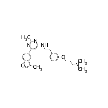 Cc1nc(NCCc2cccc(OCCCN(C)C)c2)cc(-c2ccc3occ(C)c3c2)n1